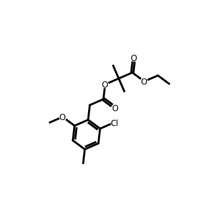 CCOC(=O)C(C)(C)OC(=O)Cc1c(Cl)cc(C)cc1OC